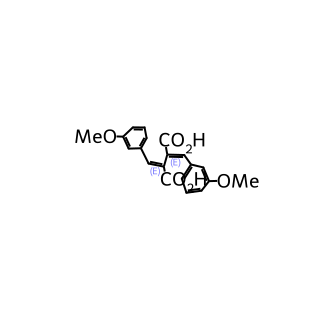 COc1cccc(/C=C(C(=O)O)\C(=C/c2cccc(OC)c2)C(=O)O)c1